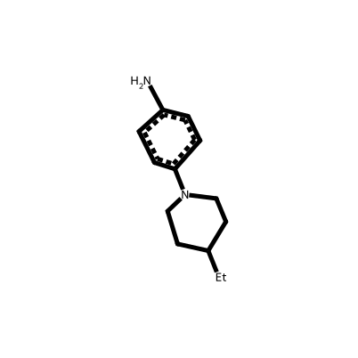 CCC1CCN(c2ccc(N)cc2)CC1